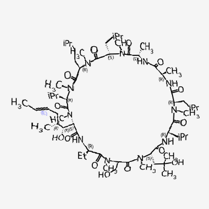 C/C=C/C[C@@H](C)[C@@H](O)[C@H]1C(=O)N[C@H](CC)C(=O)N(C)C(CO)C(=O)N(C)[C@@H](CC(C)(C)O)C(=O)N[C@H](C(C)C)C(=O)N(C)[C@H](CC(C)C)C(=O)N[C@H](C)C(=O)N[C@@H](C)C(=O)N(C)[C@@H](CC(C)C)C(=O)N(C)[C@H](CCC(C)C)C(=O)N(C)[C@H](C(C)C)C(=O)N1C